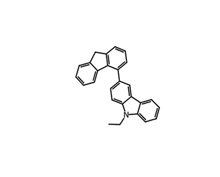 CCn1c2ccccc2c2cc(-c3cccc4c3-c3ccccc3C4)ccc21